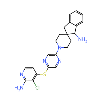 Nc1nccc(Sc2cnc(N3CCC4(CC3)Cc3ccccc3C4N)cn2)c1Cl